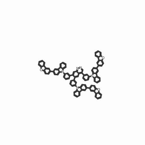 c1cc(-c2cc3nncc(-c4cccc(-n5c6ccccc6c6cc(-c7ccc8oc9ccccc9c8c7)ccc65)c4)c3cc2-c2cccc(-n3c4ccccc4c4cc(-c5ccc6oc7ccccc7c6c5)ccc43)c2)cc(-n2c3ccccc3c3cc(-c4ccc5oc6ccccc6c5c4)ccc32)c1